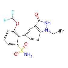 CC(C)Cn1[nH]c(=O)c2cc(-c3c(OC(F)F)cccc3S(N)(=O)=O)ccc21